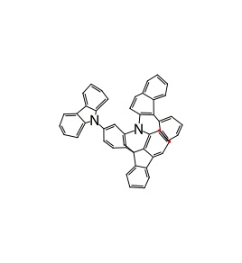 CC12c3ccccc3-c3cccc(c31)N(c1ccc3ccccc3c1-c1ccccc1)c1cc(-n3c4ccccc4c4ccccc43)ccc12